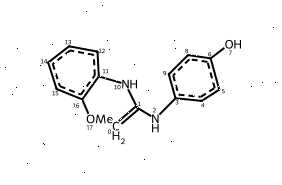 C=C(Nc1ccc(O)cc1)Nc1ccccc1OC